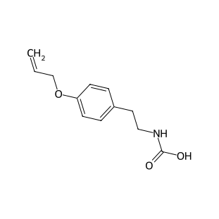 C=CCOc1ccc(CCNC(=O)O)cc1